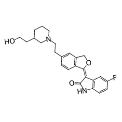 O=C1Nc2ccc(F)cc2/C1=C1\OCc2cc(CCN3CCCC(CCO)C3)ccc21